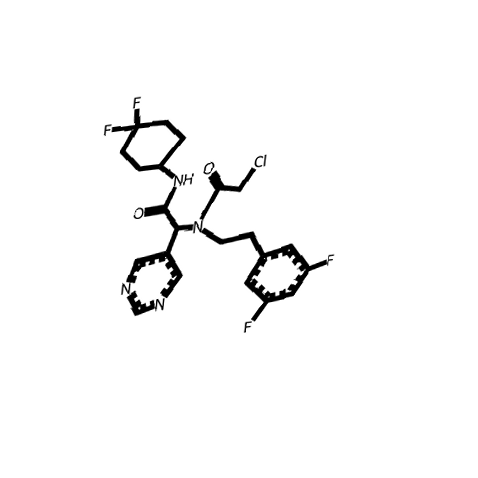 O=C(NC1CCC(F)(F)CC1)C(c1cncnc1)N(CCc1cc(F)cc(F)c1)C(=O)CCl